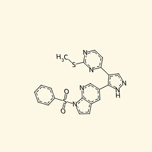 CSc1nccc(-c2cn[nH]c2-c2cnc3c(ccn3S(=O)(=O)c3ccccc3)c2)n1